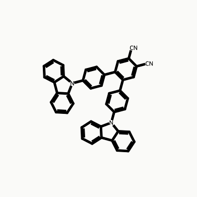 N#Cc1cc(-c2ccc(-n3c4ccccc4c4ccccc43)cc2)c(-c2ccc(-n3c4ccccc4c4ccccc43)cc2)cc1C#N